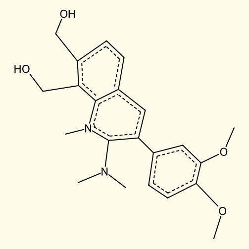 COc1ccc(-c2cc3ccc(CO)c(CO)c3[n+](C)c2N(C)C)cc1OC